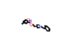 Cc1ccc2onc(OCCC3CCN(C=CC4CCCCC4)CC3)c2c1